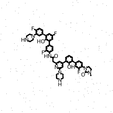 CN1CCN(c2ccc(-c3cccc(-c4cc(CC(=O)Nc5ccc(-c6cc(F)cc(-c7ccc(F)c(N8CCNCC8)c7)c6O)cc5F)nc(N5CCNCC5)c4)c3O)cc2F)C1=O